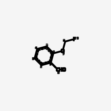 O=Cc1ccccc1OCF